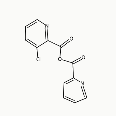 O=C(OC(=O)c1ncccc1Cl)c1ccccn1